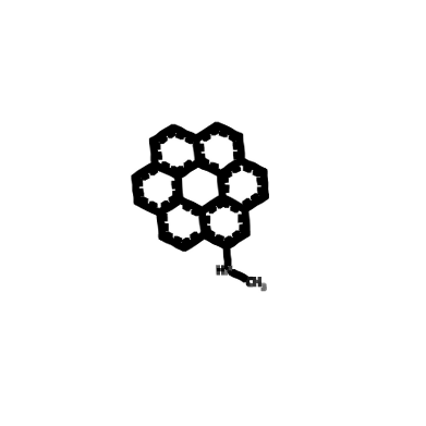 CNc1cc2ccc3ccc4ccc5ccc6ccc1c1c6c5c4c3c21